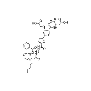 CCCCCC(C(=O)NCNC(=O)c1ccc(-c2ccc(C(=O)NC(CC(=O)O)C(=O)O)c(OCC(=O)O)c2)o1)[C@@H](CC)N(C=O)OC(=O)c1ccccc1